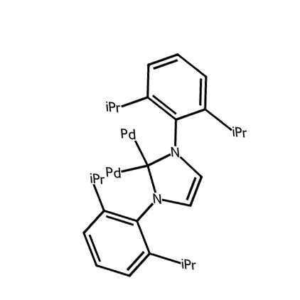 CC(C)c1cccc(C(C)C)c1N1C=CN(c2c(C(C)C)cccc2C(C)C)[C]1([Pd])[Pd]